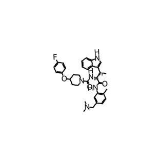 Cc1ccc(CN(C)C)cc1NC(=O)[C@H](NC(=O)N1CCC(Oc2ccc(F)cc2)CC1)[C@H](C)c1c[nH]c2ccccc12